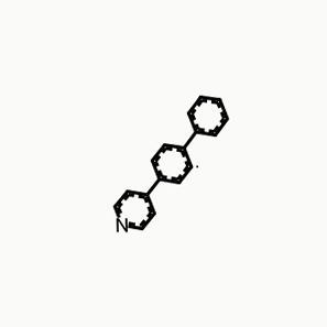 [c]1cc(-c2ccncc2)ccc1-c1ccccc1